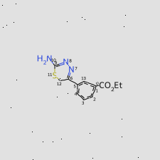 CCOC(=O)c1cccc(C2=NN=C(N)SC2)c1